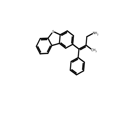 CC(CN)=C(c1ccccc1)c1ccc2sc3ccccc3c2c1